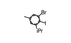 Cc1cc(Br)c(I)c(C(C)C)c1